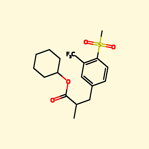 CC(Cc1ccc(S(C)(=O)=O)c(C(F)(F)F)c1)C(=O)OC1CCCCC1